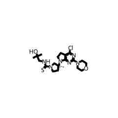 CC(C)(O)CNC(=S)N1CC[C@](C)(N2CCc3c(Cl)nc(N4CCOCC4)nc32)C1